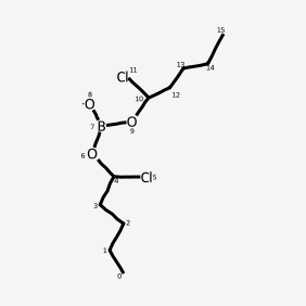 CCCCC(Cl)OB([O])OC(Cl)CCCC